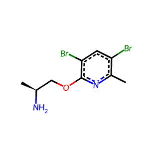 Cc1nc(OC[C@H](C)N)c(Br)cc1Br